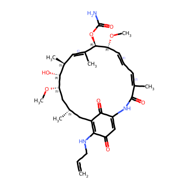 C=CCNC1=C2C[C@H](C)C[C@H](OC)[C@H](O)[C@@H](C)/C=C(\C)[C@@H](OC(N)=O)[C@H](OC)/C=C/C=C(/C)C(=O)NC(=CC1=O)C2=O